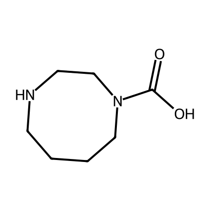 O=C(O)N1CCCCNCC1